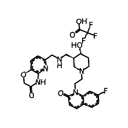 O=C(O)C(F)(F)F.O=C1COc2ccc(CNC[C@@H]3CN(CCn4c(=O)ccc5ccc(F)cc54)CC[C@@H]3O)nc2N1